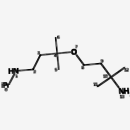 CC(C)NCCC(C)(C)OCCC(C)(C)N